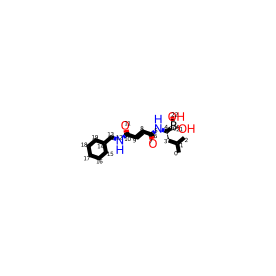 CC(C)C[C@H](NC(=O)/C=C/C(=O)NCC1CCCCC1)B(O)O